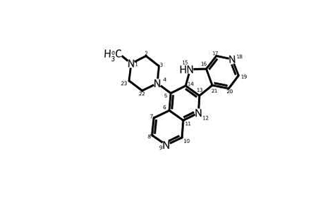 CN1CCN(c2c3ccncc3nc3c2[nH]c2cnccc23)CC1